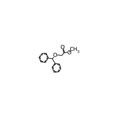 COC(=O)COC(c1ccccc1)c1ccccc1